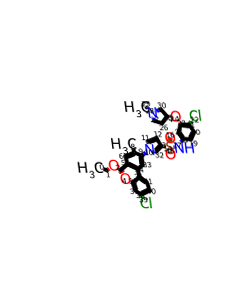 CCOC(=O)c1cc(C)c(-n2ccc(S(=O)(=O)Nc3ccc(Cl)c(O[C@@H]4CCN(C)C4)c3)c2)cc1-c1ccc(Cl)cc1